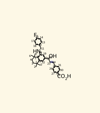 CC1(C)CCC(C)(C)c2c(NCc3ccc(F)cc3)cc(C(O)/C=C/c3ccc(C(=O)O)cc3)cc21